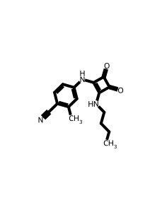 CCCCNc1c(Nc2ccc(C#N)c(C)c2)c(=O)c1=O